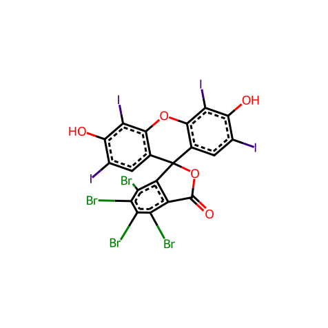 O=C1OC2(c3cc(I)c(O)c(I)c3Oc3c2cc(I)c(O)c3I)c2c(Br)c(Br)c(Br)c(Br)c21